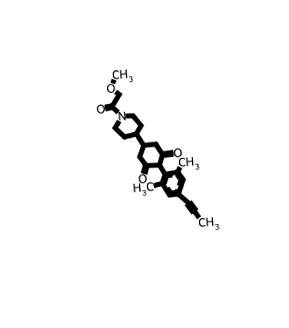 CC#Cc1cc(C)c(C2C(=O)CC(C3CCN(C(=O)COC)CC3)CC2=O)c(C)c1